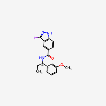 CC[C@@H](NC(=O)c1ccc2[nH]nc(I)c2c1)c1cccc(OC)c1